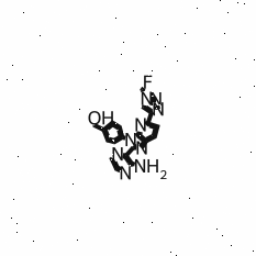 Nc1nccnc1-c1nc2ccc(-c3cn(CF)nn3)nc2n1-c1ccc(CO)cc1